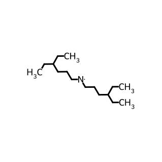 CCC(CC)CCC[N]CCCC(CC)CC